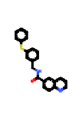 O=C(NCc1cccc(Sc2ccccc2)c1)c1ccc2ncccc2c1